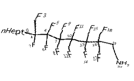 CCCCCCCC(F)(F)C(F)(F)C(F)(F)C(F)(F)C(F)(F)C(F)(F)CN